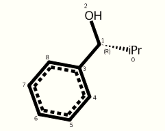 CC(C)[C@@H](O)c1ccccc1